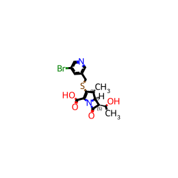 CC(O)[C@H]1C(=O)N2C(C(=O)O)=C(SCc3cncc(Br)c3)[C@H](C)[C@@H]12